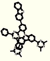 Cc1nc(C)nc(-c2ccc3c(c2)c2cc(-c4nc(C)nc(C)n4)ccc2n3-c2ccc(-c3ccc4c(c3)sc3ccccc34)cc2-c2nc(-c3ccccc3)nc(-c3ccccc3)n2)n1